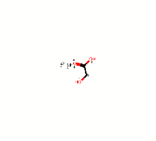 O=C(O)CO.[SiH4].[Zr]